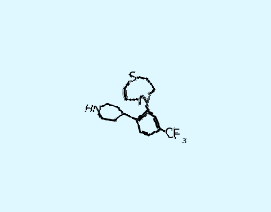 FC(F)(F)c1ccc(C2CCNCC2)c(N2CCSCC2)c1